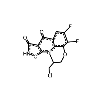 O=c1[nH]oc2c1c(=O)c1cc(F)c(F)c3c1n2C(CCl)CO3